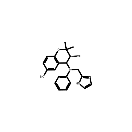 CC1(C)Oc2ccc(C#N)cc2C(N(Cc2ncc[nH]2)c2ccccc2)[C@@H]1O